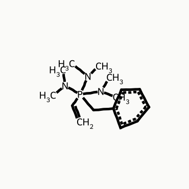 C=CP(Cc1ccccc1)(N(C)C)(N(C)C)N(C)C